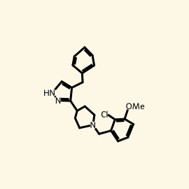 COc1cccc(CN2CCC(c3n[nH]cc3Cc3ccccc3)CC2)c1Cl